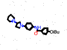 CC(C)COc1ccc(C(=O)Nc2ccc(N3CCC(N4CCCCC4)C3)cc2)cc1